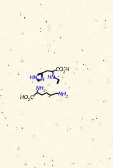 C=CNC(Cc1c[nH]cn1)C(=O)O.NCCCCC(N)C(=O)O